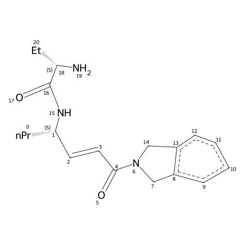 CCC[C@@H](C=CC(=O)N1Cc2ccccc2C1)NC(=O)[C@@H](N)CC